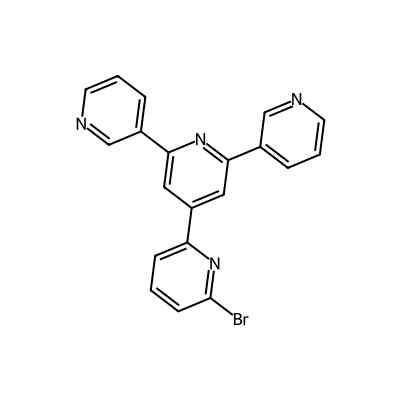 Brc1cccc(-c2cc(-c3cccnc3)nc(-c3cccnc3)c2)n1